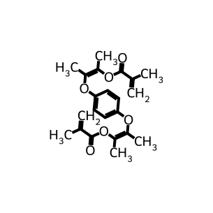 C=C(C)C(=O)OC(C)=C(C)Oc1ccc(OC(C)=C(C)OC(=O)C(=C)C)cc1